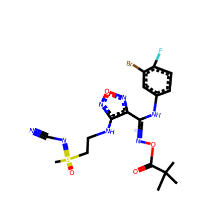 CC(C)(C)C(=O)O/N=C(\Nc1ccc(F)c(Br)c1)c1nonc1NCCS(C)(=O)=NC#N